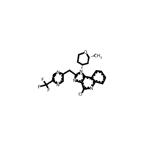 C[C@@H]1C[C@H](n2c(Cc3cnc(C(F)(F)F)cn3)nc3c(Cl)nc4ccccc4c32)CCO1